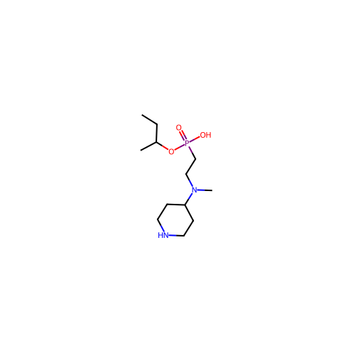 CCC(C)OP(=O)(O)CCN(C)C1CCNCC1